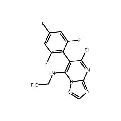 Fc1cc(I)cc(F)c1-c1c(Cl)nc2ncnn2c1NCC(F)(F)F